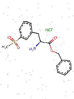 CS(=O)(=O)c1cccc(C[C@H](N)C(=O)OCc2ccccc2)c1.Cl